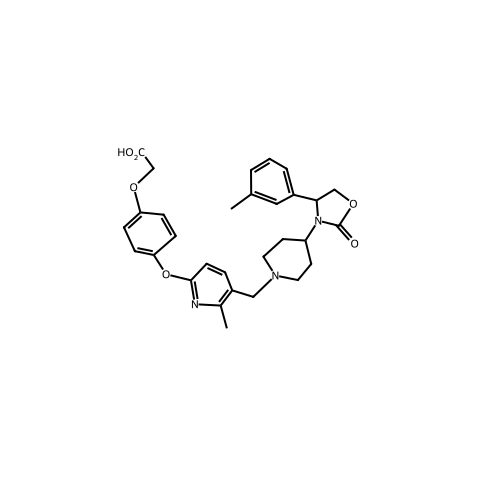 Cc1cccc(C2COC(=O)N2C2CCN(Cc3ccc(Oc4ccc(OCC(=O)O)cc4)nc3C)CC2)c1